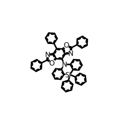 c1ccc(-c2nc3c(N4c5ccccc5[Si](c5ccccc5)(c5ccccc5)c5ccccc54)c4oc(-c5ccccc5)nc4c(-c4ccccc4)c3o2)cc1